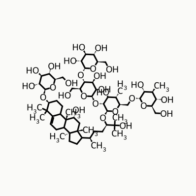 C[C@@H]1[C@@H](O)[C@@H](OC[C@H]2O[C@@H](O[C@H](CC[C@@H](C)C3CC[C@@]4(C)C5CC=C6C(CC[C@H](O[C@@H]7O[C@H](CO)[C@@H](O)[C@H](O)[C@H]7O)C6(C)C)[C@]5(C)[C@H](O)C[C@]34C)C(C)(C)O)[C@H](O[C@H]3O[C@@H](CO)[C@H](O[C@H]4O[C@H](CO)[C@@H](O)[C@H](O)[C@H]4O)[C@@H](O)[C@@H]3O)[C@@H](O)[C@@H]2C)O[C@H](CO)[C@H]1O